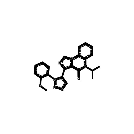 COc1ccccc1-n1nncc1-c1ncn2c1c(=O)n(C(C)C)c1ccccc12